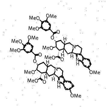 COC(=O)[C@H]1[C@H]2C[C@@H]3c4[nH]c5cc(OC)ccc5c4CCN3C[C@H]2C[C@@H](OC(=O)c2cc(OC)c(OC)c(OC)c2)[C@@H]1OC.COC(=O)[C@H]1[C@H]2C[C@@H]3c4[nH]c5cc(OC)ccc5c4CCN3C[C@H]2C[C@@H](OC(=O)c2cc(OC)c(OC)c(OC)c2)[C@@H]1OC